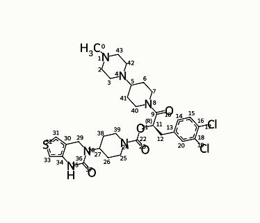 CN1CCN(C2CCN(C(=O)[C@@H](Cc3ccc(Cl)c(Cl)c3)OC(=O)N3CCC(N4Cc5cscc5NC4=O)CC3)CC2)CC1